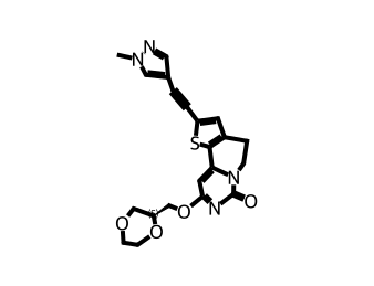 Cn1cc(C#Cc2cc3c(s2)-c2cc(OC[C@@H]4COCCO4)nc(=O)n2CC3)cn1